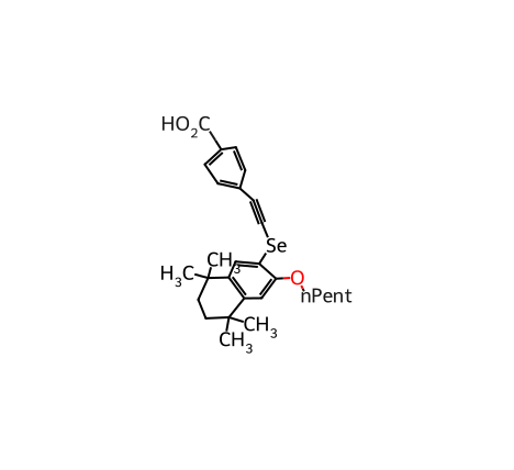 CCCCCOc1cc2c(cc1[Se]C#Cc1ccc(C(=O)O)cc1)C(C)(C)CCC2(C)C